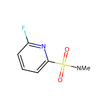 CNS(=O)(=O)c1cccc(F)n1